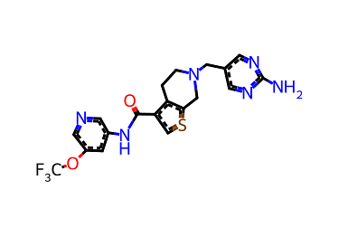 Nc1ncc(CN2CCc3c(C(=O)Nc4cncc(OC(F)(F)F)c4)csc3C2)cn1